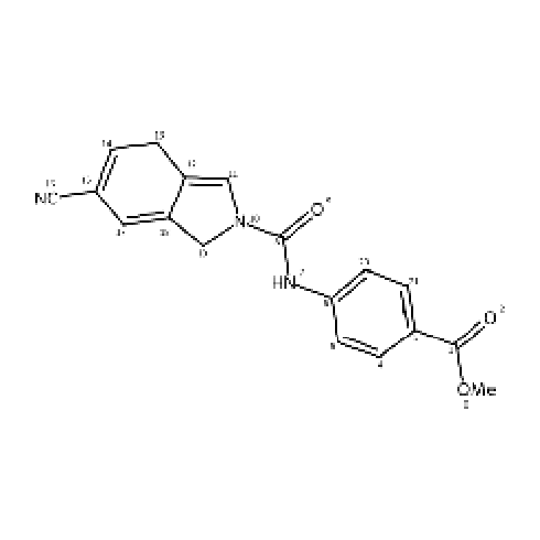 COC(=O)c1ccc(NC(=O)N2C=C3CC=C(C#N)C=C3C2)cc1